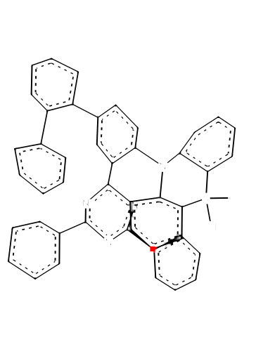 CS1(C)c2ccccc2N(c2ccc(-c3ccccc3-c3ccccc3)cc2-c2nc(-c3ccccc3)nc(-c3ccccc3)n2)c2ccccc21